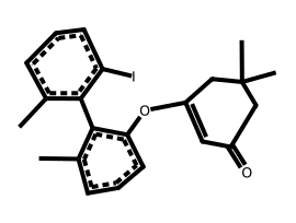 Cc1cccc(I)c1-c1c(C)cccc1OC1=CC(=O)CC(C)(C)C1